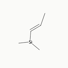 C/C=C/[Si](C)C